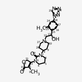 CC1=C(N2CCCN(C3CCN(CC(O)c4ccc(-n5cnnn5)cc4C)CC3)C2=O)COC1=O